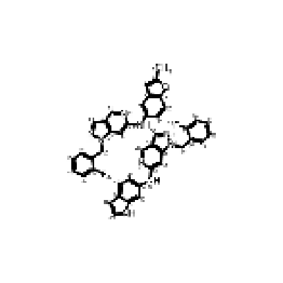 Cc1cc2cc(Nc3cc4c(cn3)cnn4Cc3ccccc3F)ccc2o1.Fc1ccccc1Cn1ncc2cnc(Nc3ccc4cc[nH]c4c3)cc21